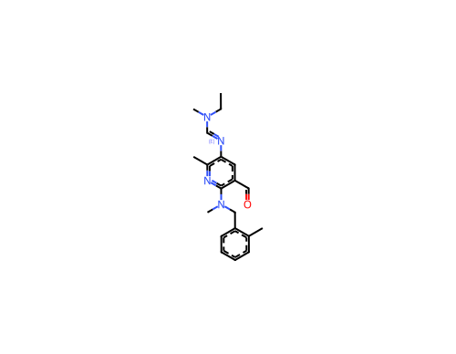 CCN(C)/C=N/c1cc(C=O)c(N(C)Cc2ccccc2C)nc1C